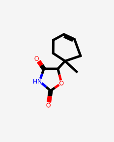 CC1(C2OC(=O)NC2=O)CC=CCC1